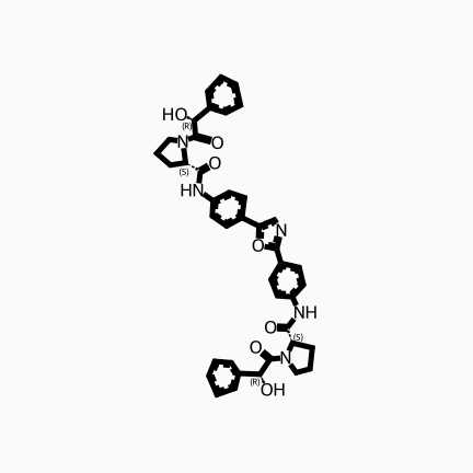 O=C(Nc1ccc(-c2cnc(-c3ccc(NC(=O)[C@@H]4CCCN4C(=O)[C@H](O)c4ccccc4)cc3)o2)cc1)[C@@H]1CCCN1C(=O)[C@H](O)c1ccccc1